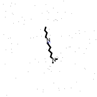 CCCC/N=C/CCCCN(C)C